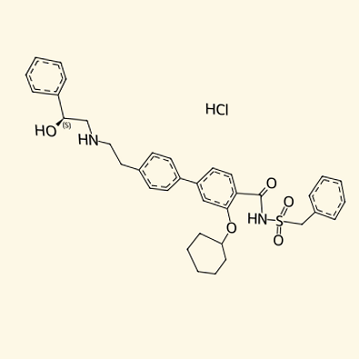 Cl.O=C(NS(=O)(=O)Cc1ccccc1)c1ccc(-c2ccc(CCNC[C@@H](O)c3ccccc3)cc2)cc1OC1CCCCC1